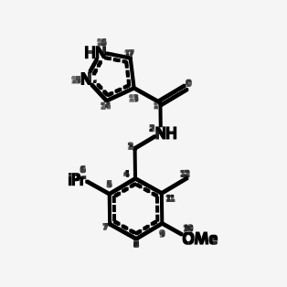 C=C(NCc1c(C(C)C)ccc(OC)c1C)c1cn[nH]c1